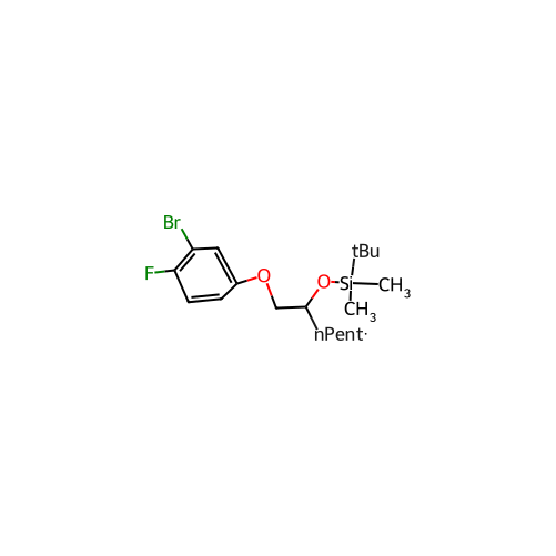 CCCC[CH]C(COc1ccc(F)c(Br)c1)O[Si](C)(C)C(C)(C)C